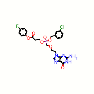 Nc1nc2c(ncn2CCOCP(=O)(OCCC(=O)Oc2ccc(F)cc2)OCc2cccc(Cl)c2)c(=O)[nH]1